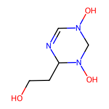 OCCC1N=CN(O)CN1O